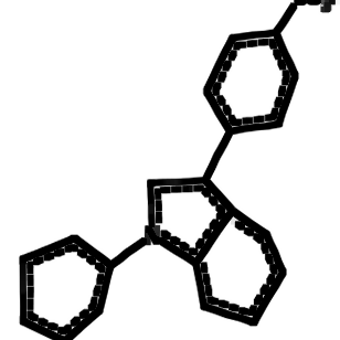 O=S(=O)(O)c1ccc(-c2cn(-c3ccccc3)c3ccccc23)cc1